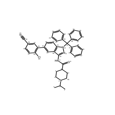 CC(C)N1CCC(C(=O)Nc2nn(C(c3ccccc3)(c3ccccc3)c3ccccc3)c3ccc(-c4cc(C#N)ccc4Cl)cc23)CC1